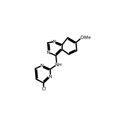 COc1ccc2c(Nc3nccc(Cl)n3)ncnc2c1